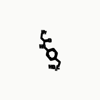 CC(C)CC(=O)Nc1ccc(CC(=O)O)cc1